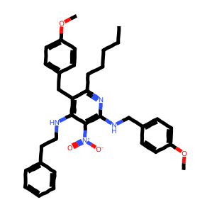 CCCCCc1nc(NCc2ccc(OC)cc2)c([N+](=O)[O-])c(NCCc2ccccc2)c1Cc1ccc(OC)cc1